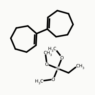 C1=C(C2=CCCCCC2)CCCCC1.CC[Si](OC)(OC)OC